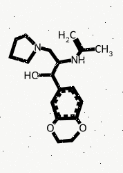 C=C(C)NC(CN1CCCC1)C(O)c1ccc2c(c1)OCCO2